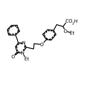 CCOC(Cc1ccc(OCCc2nc(-c3ccccc3)cc(=O)n2CC)cc1)C(=O)O